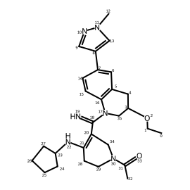 CCOC1Cc2cc(-c3cnn(C)c3)ccc2N(C(=N)C2=C(NC3CCCC3)CCN(C(C)=O)C2)C1